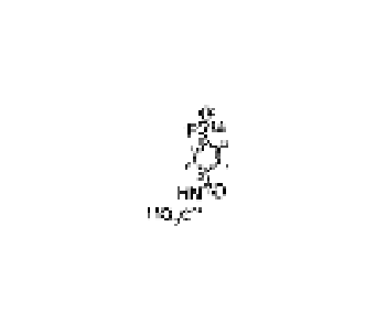 O=C(O)CNC(=O)c1ccc(S(=O)(=O)F)cc1